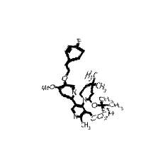 CCC(C)(C)OC1CC(C)(C)CCN1c1c(-c2cc(OC)c(OCCc3ccc(F)cc3)cn2)cnc(C)c1CC(=O)O